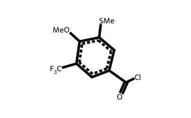 COc1c(SC)cc(C(=O)Cl)cc1C(F)(F)F